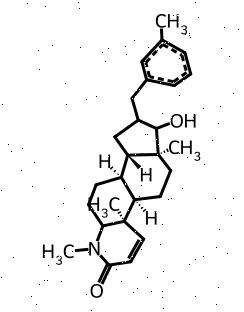 Cc1cccc(CC2C[C@H]3[C@@H]4CCC5N(C)C(=O)C=C[C@]5(C)[C@@H]4CC[C@]3(C)C2O)c1